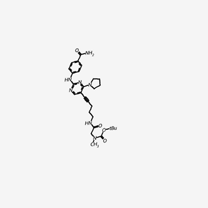 CN(CC(=O)NCCCC#Cc1cnc(Nc2ccc(C(N)=O)cc2)nc1N1CCCC1)C(=O)OC(C)(C)C